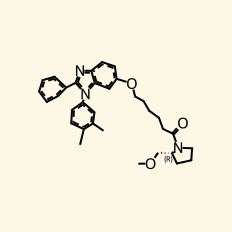 COC[C@H]1CCCN1C(=O)CCCCCOc1ccc2nc(-c3ccccc3)n(-c3ccc(C)c(C)c3)c2c1